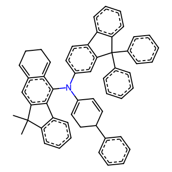 CC1(C)c2ccccc2-c2c1cc1c(c2N(C2=CCC(c3ccccc3)C=C2)c2ccc3c(c2)C(c2ccccc2)(c2ccccc2)c2ccccc2-3)=CCCC=1